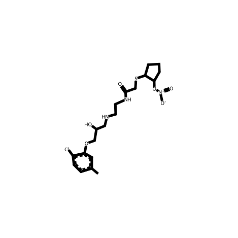 Cc1ccc(Cl)c(OCC(O)CNCCNC(=O)CSC2CCCC2O[N+](=O)[O-])c1